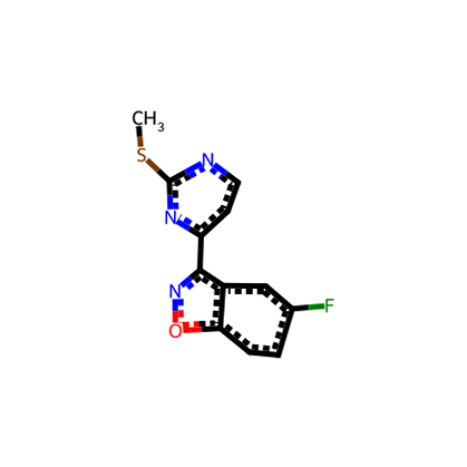 CSc1nccc(-c2noc3ccc(F)cc23)n1